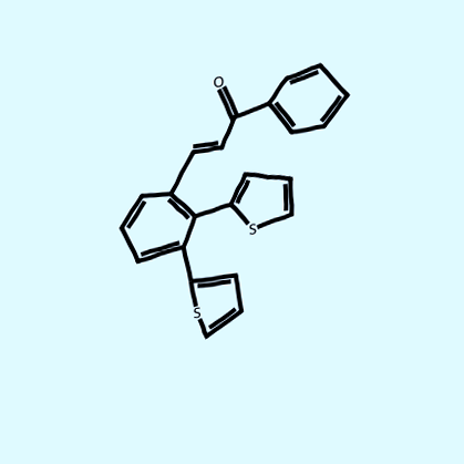 O=C(C=Cc1cccc(-c2cccs2)c1-c1cccs1)c1ccccc1